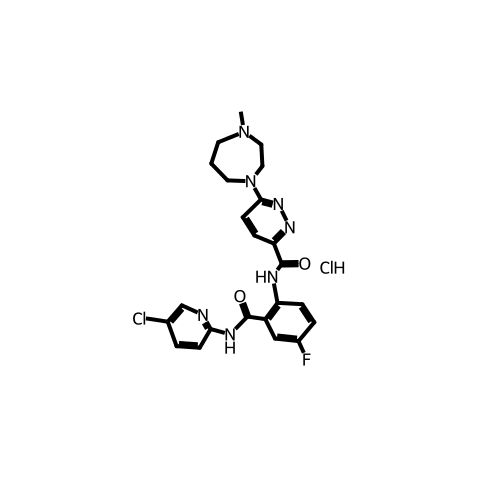 CN1CCCN(c2ccc(C(=O)Nc3ccc(F)cc3C(=O)Nc3ccc(Cl)cn3)nn2)CC1.Cl